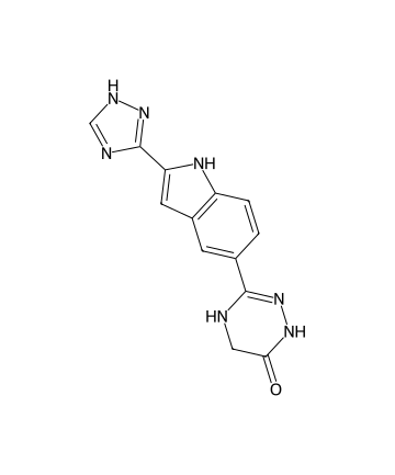 O=C1CNC(c2ccc3[nH]c(-c4nc[nH]n4)cc3c2)=NN1